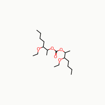 CCCCC(OCC)C(C)OC(=O)OC(C)C(CCCC)OCC